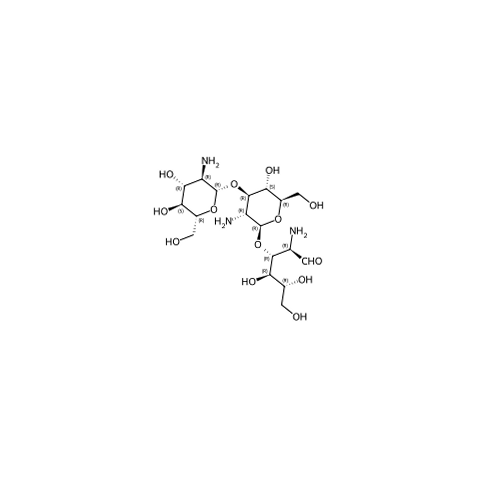 N[C@H]1[C@H](O[C@@H]2[C@@H](N)[C@H](O[C@@H]([C@H](O)[C@H](O)CO)[C@@H](N)C=O)O[C@H](CO)[C@H]2O)O[C@H](CO)[C@@H](O)[C@@H]1O